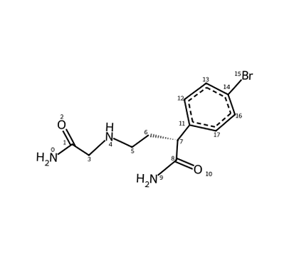 NC(=O)CNCC[C@@H](C(N)=O)c1ccc(Br)cc1